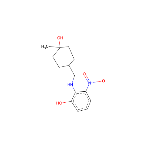 CC1(O)CCC(CNc2c(O)cccc2[N+](=O)[O-])CC1